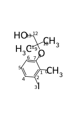 Cc1c(I)cccc1OC(C)(C)CO